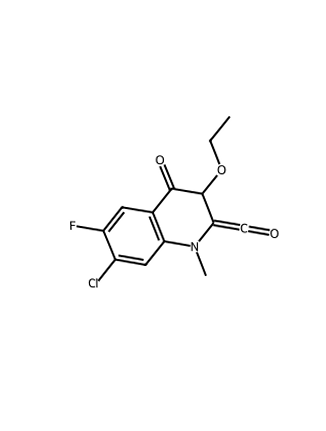 CCOC1C(=O)c2cc(F)c(Cl)cc2N(C)C1=C=O